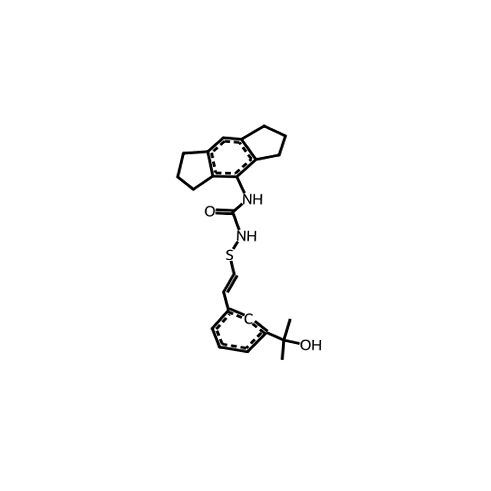 CC(C)(O)c1cccc(/C=C/SNC(=O)Nc2c3c(cc4c2CCC4)CCC3)c1